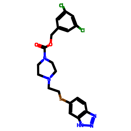 O=C(OCc1cc(Cl)cc(Cl)c1)N1CCN(CCSc2ccc3nn[nH]c3c2)CC1